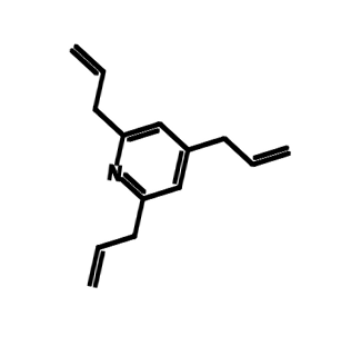 C=CCc1cc(CC=C)nc(CC=C)c1